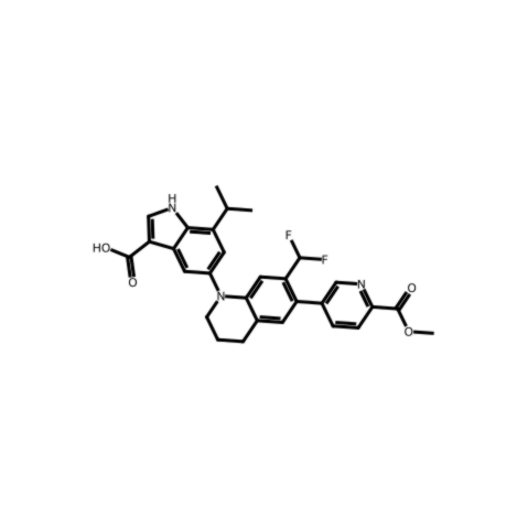 COC(=O)c1ccc(-c2cc3c(cc2C(F)F)N(c2cc(C(C)C)c4[nH]cc(C(=O)O)c4c2)CCC3)cn1